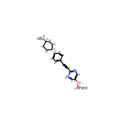 CCCCCOc1cnc(C#Cc2ccc([C@H]3CC[C@H](CCCC)CC3)cc2)nc1